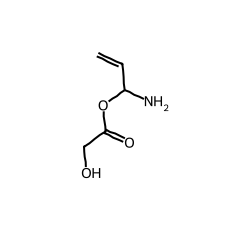 C=CC(N)OC(=O)CO